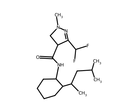 CC(C)CC(C)C1CCCCC1NC(=O)C1CN(C)N=C1C(F)F